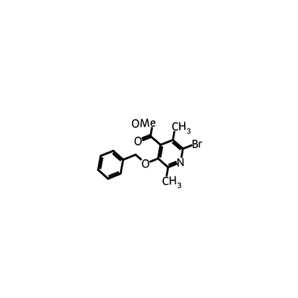 COC(=O)c1c(C)c(Br)nc(C)c1OCc1ccccc1